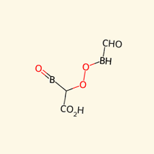 O=BC(OOBC=O)C(=O)O